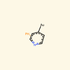 P.[Au][c]1ccncc1